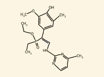 CCOP(=O)(CC)C(=CNc1nccc(C)n1)c1cc(C)c(O)c(OC)c1